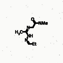 CC/C=N\N/C(C)=N\CC(=O)NC